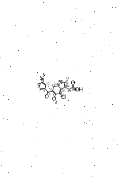 COC1=C(C(=O)c2csc(SC)c2)CC2=NC(C)=C(CC(=O)O)C2=C1Cl